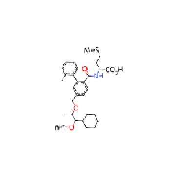 CCCOC(C1CCCCC1)C(C)OCc1ccc(C(=O)N[C@@H](CCSC)C(=O)O)c(-c2ccccc2C)c1